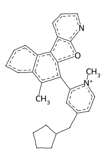 Cc1c(-c2cc(CC3CCCC3)cc[n+]2C)c2oc3ncccc3c2c2ccccc12